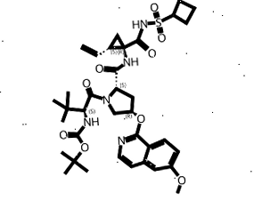 C=C[C@@H]1C[C@]1(NC(=O)[C@@H]1C[C@@H](Oc2nccc3cc(OC)ccc23)CN1C(=O)[C@@H](NC(=O)OC(C)(C)C)C(C)(C)C)C(=O)NS(=O)(=O)C1CCC1